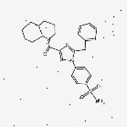 NS(=O)(=O)c1ccc(-n2nc(C(=O)N3CCCC4CCCCC43)nc2Cc2ccccc2)cc1